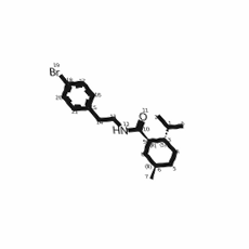 CC(C)[C@@H]1CC[C@@H](C)C[C@H]1C(=O)NCCc1ccc(Br)cc1